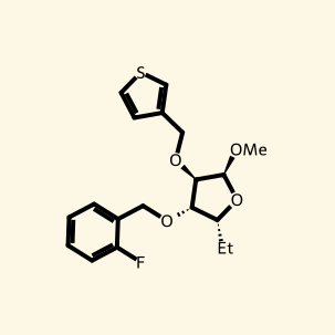 CC[C@H]1O[C@H](OC)[C@H](OCc2ccsc2)[C@H]1OCc1ccccc1F